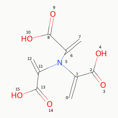 C=C(C(=O)O)N(C(=C)C(=O)O)C(=C)C(=O)O